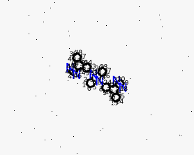 c1ccc2c(c1)N(c1ccc3c4ccccc4c4nccnc4c3c1)c1ccccc1N2c1ccc2c3ccccc3c3nccnc3c2c1